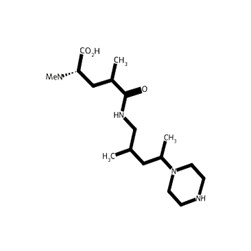 CN[C@@H](CC(C)C(=O)NCC(C)CC(C)N1CCNCC1)C(=O)O